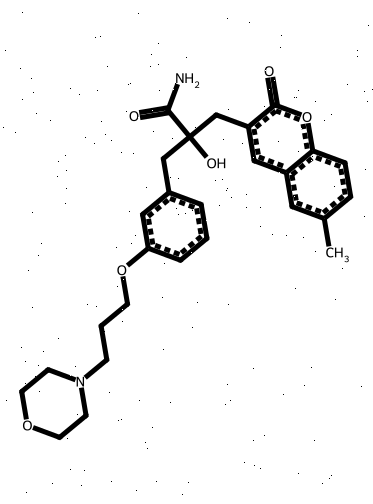 Cc1ccc2oc(=O)c(CC(O)(Cc3cccc(OCCCN4CCOCC4)c3)C(N)=O)cc2c1